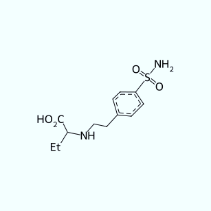 CCC(NCCc1ccc(S(N)(=O)=O)cc1)C(=O)O